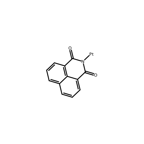 O=C1c2cccc3cccc(c23)C(=O)[N]1[Pt]